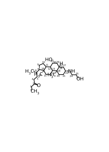 CCC(=O)CC[C@@H](C)[C@H]1CCC2C3C(CC[C@@]21C)[C@@]1(C)CC[C@H](NCCO)C[C@H]1C[C@H]3O